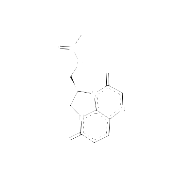 CS(=O)OC[C@@H]1Cn2c(=O)ccc3ncc(=O)n1c32